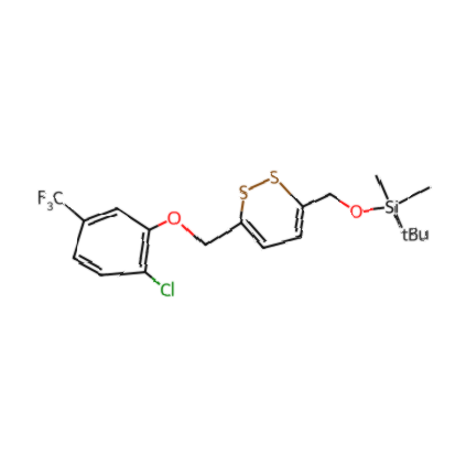 CC(C)(C)[Si](C)(C)OCC1=CC=C(COc2cc(C(F)(F)F)ccc2Cl)SS1